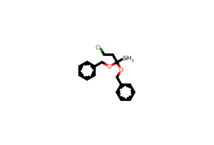 [SiH3]C(CCCl)(OCc1ccccc1)OCc1ccccc1